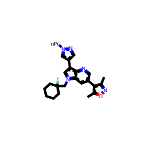 CCCn1cc(-c2cn(CC3(F)CCCCC3)c3cc(-c4c(C)noc4C)cnc23)cn1